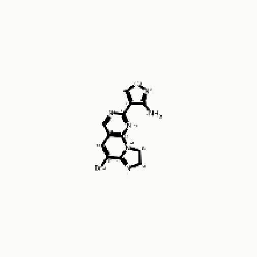 Nc1nocc1-c1ncc2c(n1)N1CCN=C1C(Br)=C2